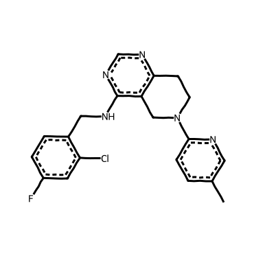 Cc1ccc(N2CCc3ncnc(NCc4ccc(F)cc4Cl)c3C2)nc1